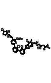 COc1nc(-c2cccc(-c3cccc(-c4cc5c(=O)n(C)c(CNC[C@@H](O)CC(=O)N(C)C)nn5c4)c3Cl)c2Cl)ccc1CNC[C@@H]1CCC(=O)N1